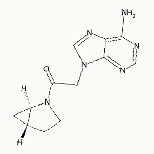 Nc1ncnc2c1ncn2CC(=O)N1CC[C@@H]2C[C@H]21